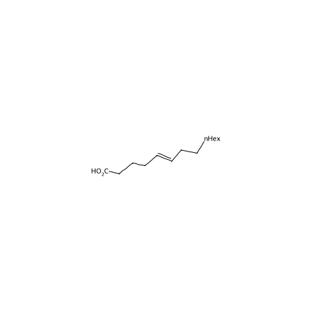 CCCCCCCCC=CCCCC(=O)O